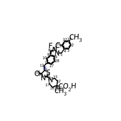 Cc1ccc(Cn2ncc3cc(/C=C4\SC(N5CCC(C)(C(=O)O)CC5)=NC4=O)ccc32)c(C(F)(F)F)c1